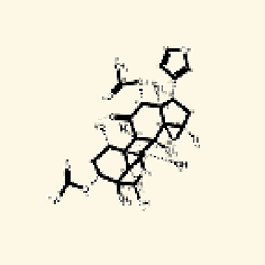 CC(=O)O[C@@H]1C[C@H](O)[C@@]23CO[C@@H](O)C1(C)[C@@H]2C[C@@H](O)[C@]1(C)[C@@H]3C(=O)[C@H](OC(C)=O)[C@@]2(C)[C@H](c3ccoc3)C[C@H]3O[C@]321